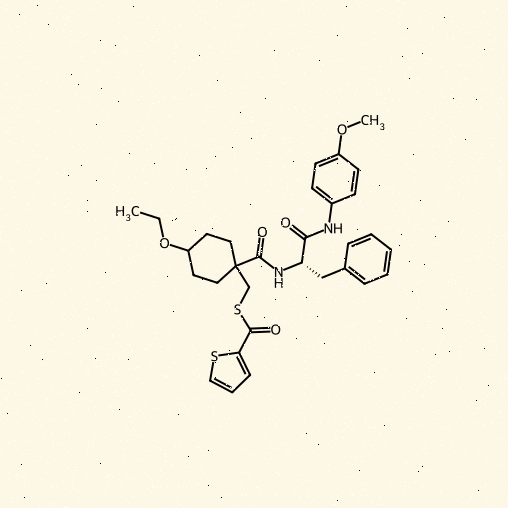 CCOC1CCC(CSC(=O)c2cccs2)(C(=O)N[C@@H](Cc2ccccc2)C(=O)Nc2ccc(OC)cc2)CC1